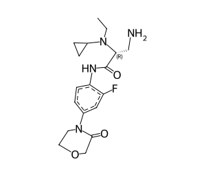 CCN(C1CC1)[C@H](CN)C(=O)Nc1ccc(N2CCOCC2=O)cc1F